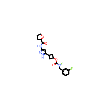 O=C(Nc1cc(C2CC(OC(=O)N(F)Cc3cccc(F)c3)C2)[nH]n1)C1CCCO1